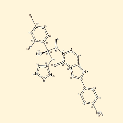 C[C@@H](n1ccc2nc(-c3ccc([N+](=O)[O-])cc3)cn2c1=O)[C@](O)(Cn1cncn1)c1ccc(F)cc1F